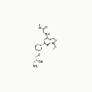 COC(=O)CNc1cc(-c2cccc(OCC(O)CN)c2)nc2c1cnn2C(C)C